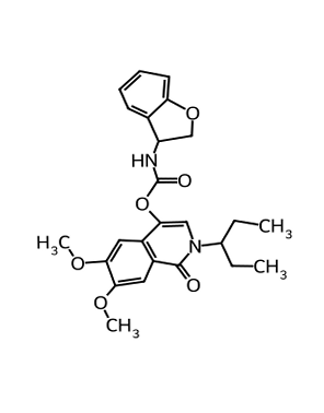 CCC(CC)n1cc(OC(=O)NC2COc3ccccc32)c2cc(OC)c(OC)cc2c1=O